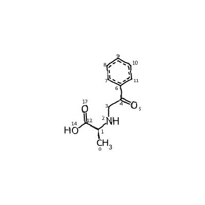 C[C@H](NCC(=O)c1ccccc1)C(=O)O